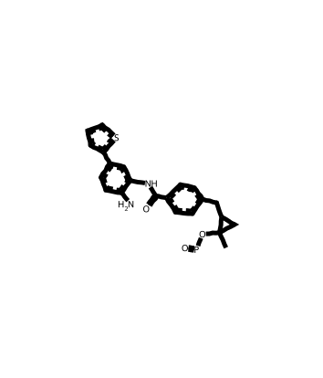 CC1(OP=O)CC1Cc1ccc(C(=O)Nc2cc(-c3cccs3)ccc2N)cc1